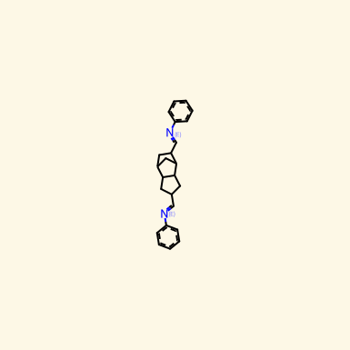 C(=N\c1ccccc1)/C1CC2C3CC(/C=N/c4ccccc4)C(C3)C2C1